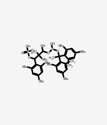 CCCCC(CC)(C(O)OP(O)OC(C)(c1c(C)cc(C(C)(C)C)cc1C(C)(C)C)c1c(C)cc(C(C)(C)C)cc1C(C)(C)C)C(OP(=O)(O)O)c1c(C(C)(C)C)cc(C(C)(C)C)cc1C(C)(C)C